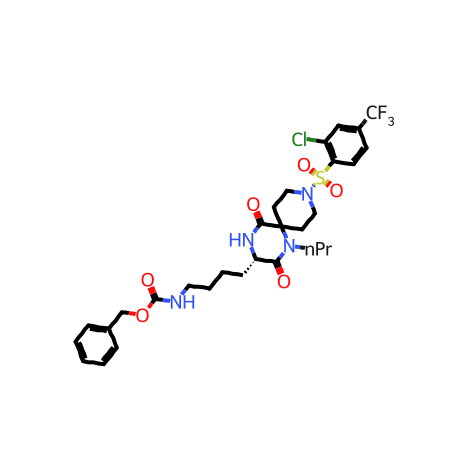 CCCN1C(=O)[C@H](CCCCNC(=O)OCc2ccccc2)NC(=O)C12CCN(S(=O)(=O)c1ccc(C(F)(F)F)cc1Cl)CC2